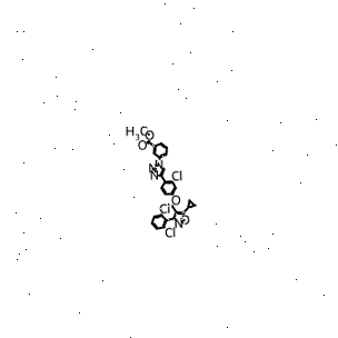 COC(=O)c1cccc(-n2cc(-c3ccc(OCc4c(-c5c(Cl)cccc5Cl)noc4C4CC4)cc3Cl)nn2)c1